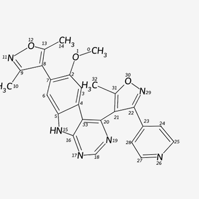 COc1cc2c(cc1-c1c(C)noc1C)[nH]c1ncnc(-c3c(-c4ccncc4)noc3C)c12